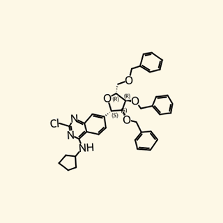 Clc1nc(NC2CCCC2)c2ccc([C@@H]3O[C@H](COCc4ccccc4)[C@@H](OCc4ccccc4)[C@H]3OCc3ccccc3)cc2n1